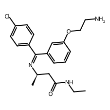 CCNC(=O)C[C@@H](C)/N=C(/c1ccc(Cl)cc1)c1cccc(OCCN)c1